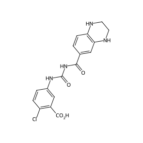 O=C(NC(=O)c1ccc2c(c1)NCCN2)Nc1ccc(Cl)c(C(=O)O)c1